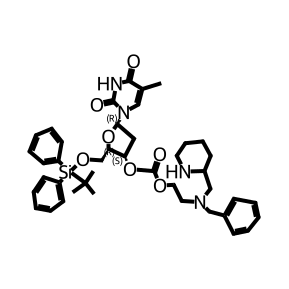 Cc1cn([C@H]2C[C@H](OC(=O)OCCN(Cc3ccccc3)CC3CCCCN3)[C@@H](CO[Si](c3ccccc3)(c3ccccc3)C(C)(C)C)O2)c(=O)[nH]c1=O